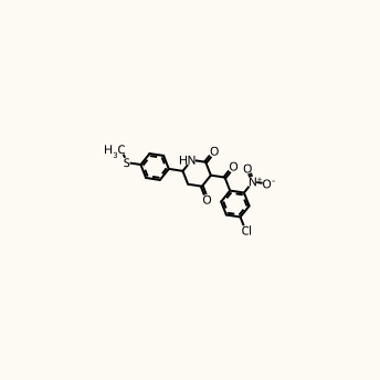 CSc1ccc(C2CC(=O)C(C(=O)c3ccc(Cl)cc3[N+](=O)[O-])C(=O)N2)cc1